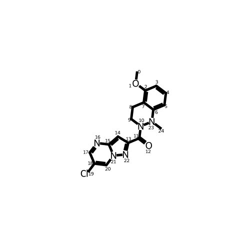 COc1cccc2c1CCN(C(=O)c1cc3ncc(Cl)cn3n1)N2C